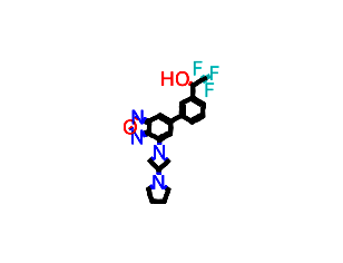 OC(c1cccc(-c2cc(N3CC(N4CCCC4)C3)c3nonc3c2)c1)C(F)(F)F